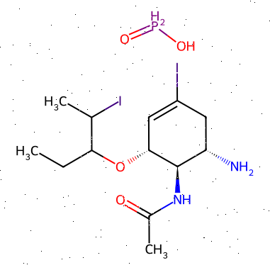 CCC(O[C@@H]1C=C(I)C[C@H](N)[C@H]1NC(C)=O)C(C)I.O=[PH2]O